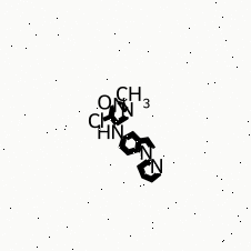 Cn1ncc(Nc2ccc3c(ccn3-c3ccccn3)c2)c(Cl)c1=O